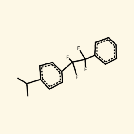 CC(C)c1ccc(C(F)(F)C(F)(F)c2ccccc2)cc1